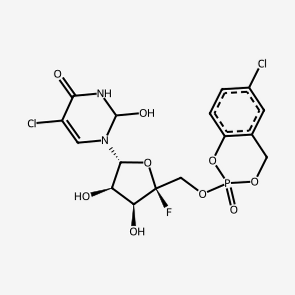 O=C1NC(O)N([C@@H]2O[C@](F)(COP3(=O)OCc4cc(Cl)ccc4O3)[C@@H](O)[C@H]2O)C=C1Cl